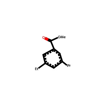 [CH2]C(C)c1cc(CC)cc(C(=O)OC)c1